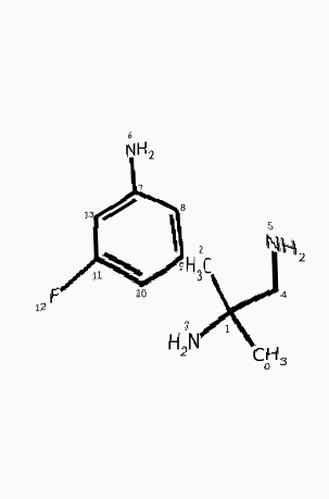 CC(C)(N)CN.Nc1cccc(F)c1